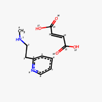 CNCCc1ccccn1.O=C(O)C=CC(=O)O